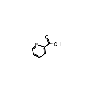 O=C(O)c1ccccp1